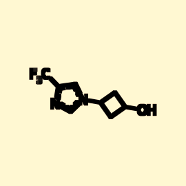 OC1CC(n2cnc(C(F)(F)F)c2)C1